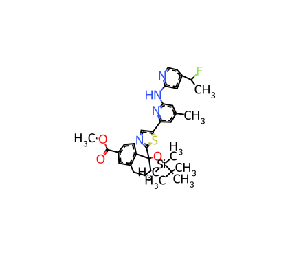 COC(=O)c1ccc2c(c1)CCCC2(O[Si](C)(C)C(C)(C)C)c1ncc(-c2cc(C)cc(Nc3cc(C(C)F)ccn3)n2)s1